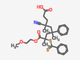 COCCOC(=O)C(C)(CC(C)(CC(C)(C#N)CCC(=O)O)c1ccccc1)SC(=S)c1ccccc1